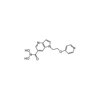 O=C(c1cnc2ccn(CCOc3ccncc3)c2c1)N(O)O